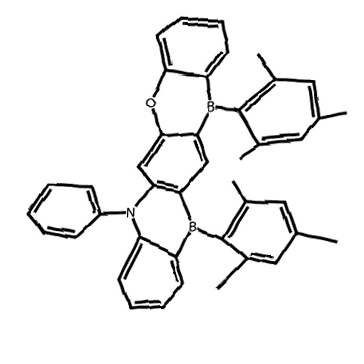 Cc1cc(C)c(B2c3ccccc3Oc3cc4c(cc32)B(c2c(C)cc(C)cc2C)c2ccccc2N4c2ccccc2)c(C)c1